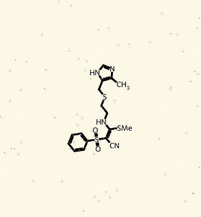 CS/C(NCCSCc1[nH]cnc1C)=C(\C#N)S(=O)(=O)c1ccccc1